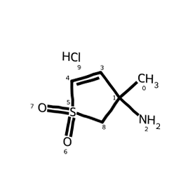 CC1(N)C=CS(=O)(=O)C1.Cl